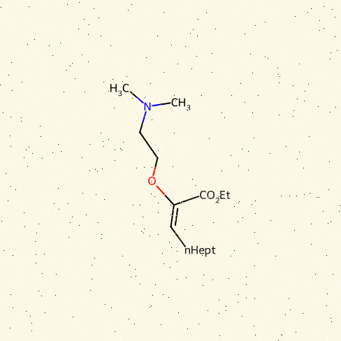 CCCCCCC/C=C(/OCCN(C)C)C(=O)OCC